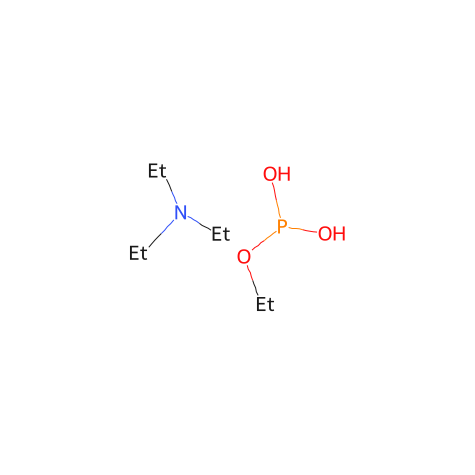 CCN(CC)CC.CCOP(O)O